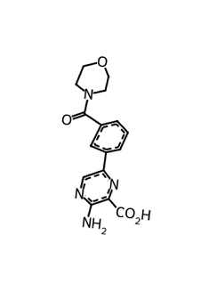 Nc1ncc(-c2cccc(C(=O)N3CCOCC3)c2)nc1C(=O)O